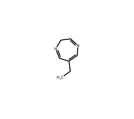 CCC1=CN=CCN=C1